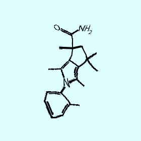 Cc1ccccc1-n1c(C)c2c(c1C)C(C)(C(N)=O)CC2(C)C